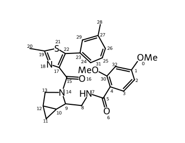 COc1ccc(C(=O)NCC2C3CC3CN2C(=O)c2nc(C)sc2-c2cccc(C)c2)c(OC)c1